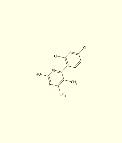 Cc1nc(O)nc(-c2ccc(Cl)cc2Cl)c1C